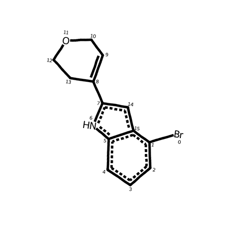 Brc1cccc2[nH]c(C3=CCOCC3)cc12